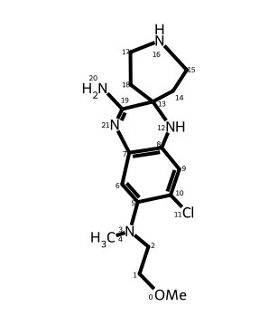 COCCN(C)c1cc2c(cc1Cl)NC1(CCNCC1)C(N)=N2